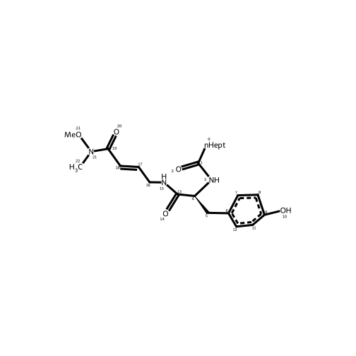 CCCCCCCC(=O)N[C@@H](Cc1ccc(O)cc1)C(=O)NC/C=C/C(=O)N(C)OC